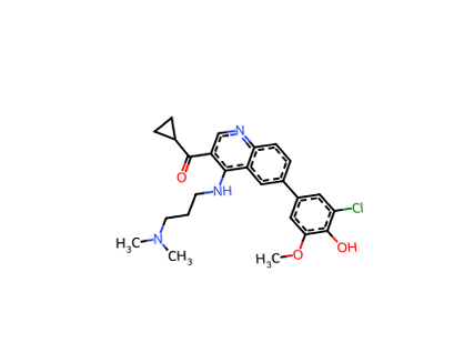 COc1cc(-c2ccc3ncc(C(=O)C4CC4)c(NCCCN(C)C)c3c2)cc(Cl)c1O